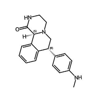 CNc1ccc([C@H]2CN3CCNC(=O)[C@@H]3c3ccccc32)cc1